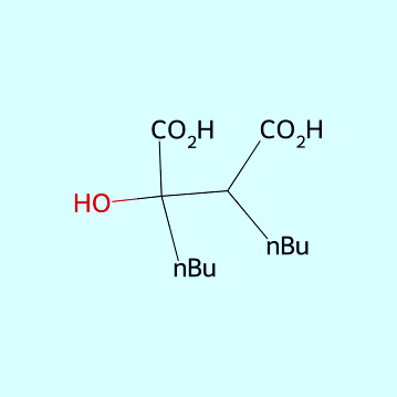 CCCCC(C(=O)O)C(O)(CCCC)C(=O)O